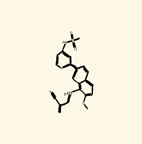 C=C(C#N)CNc1c(OC)ccc2ccc(-c3cc(NS(C)(=O)=O)ccn3)cc12